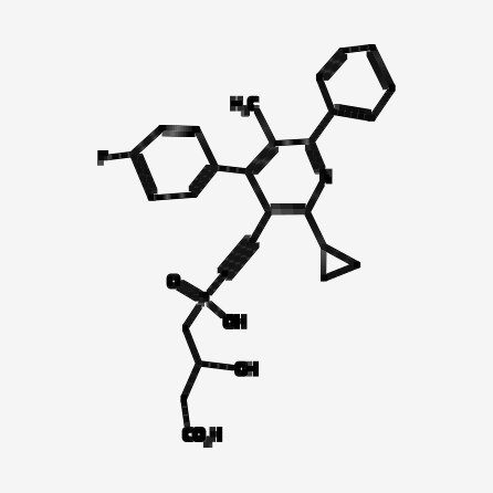 Cc1c(-c2ccccc2)nc(C2CC2)c(C#CP(=O)(O)CC(O)CC(=O)O)c1-c1ccc(F)cc1